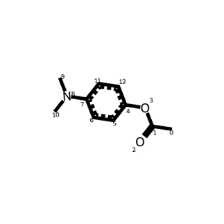 CC(=O)Oc1ccc(N(C)C)cc1